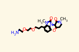 CN1CCC(=O)C(n2c(=O)n(C)c3c(CCCOCCOCCN)cccc32)C1=O